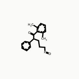 Cc1cccc(C)c1C(=O)C(CCCP=O)c1ccccc1